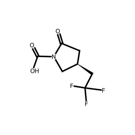 O=C(O)N1C[C@H](CC(F)(F)F)CC1=O